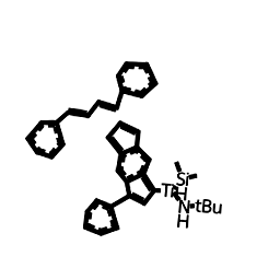 C(C=Cc1ccccc1)=Cc1ccccc1.C[SiH](C)[Ti]([NH]C(C)(C)C)[C]1=c2cc3c(cc2C(c2ccccc2)=C1)=CC=C3